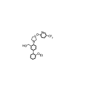 CCOc1ccccc1-c1ccc(N2CC[C@H](Oc3ccc(C(F)(F)F)cn3)C2)c(CO)c1